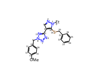 CCn1ncc(-c2nnn(Cc3ccc(OC)cc3)n2)c1SCc1ccccc1